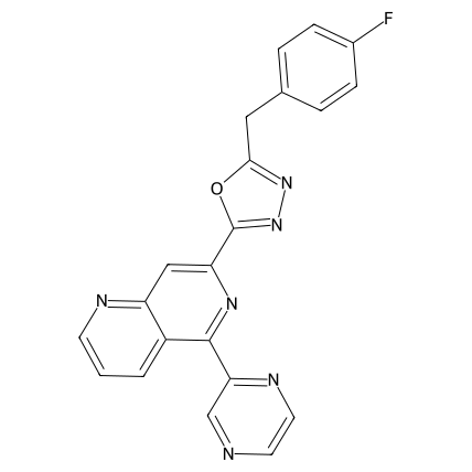 Fc1ccc(Cc2nnc(-c3cc4ncccc4c(-c4cnccn4)n3)o2)cc1